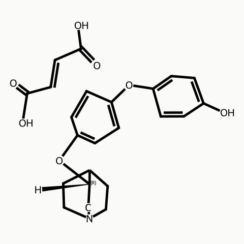 O=C(O)C=CC(=O)O.Oc1ccc(Oc2ccc(O[C@H]3CN4CCC3CC4)cc2)cc1